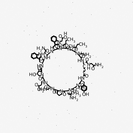 CCCC[C@H]1C(=O)N(C)[C@@H](CCCC)C(=O)N[C@@H](CN)C(=O)N[C@H](C(=O)NCC(N)=O)CSCC(=O)N[C@@H](Cc2ccc(O)cc2)C(=O)N(C)[C@@H](C)C(=O)N[C@@H](CC(N)=O)C(=O)N2CCC[C@H]2C(=O)N[C@@H](CN)C(=O)N[C@@H](CCC(=O)O)C(=O)N2C[C@H](O)C[C@H]2C(=O)N[C@@H](Cc2c[nH]c3ccccc23)C(=O)N[C@@H](CCN)C(=O)N[C@@H](Cc2cn(CC(=O)O)c3ccccc23)C(=O)N1C